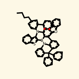 CCCCc1ccc(N2c3cc4c(oc5ccccc54)c4c3B(c3sc5ccccc5c32)N2c3ccccc3C(c3ccccc3)(c3ccccc3)c3cccc-4c32)c(-c2ccccc2)c1